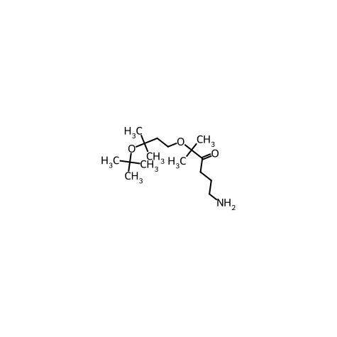 CC(C)(C)OC(C)(C)CCOC(C)(C)C(=O)CCCN